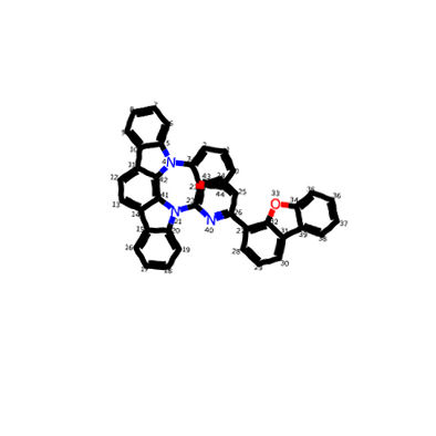 c1ccc(-n2c3ccccc3c3ccc4c5ccccc5n(-c5cccc(-c6cccc7c6oc6ccccc67)n5)c4c32)cc1